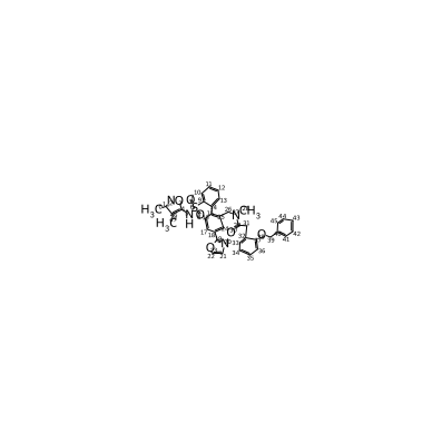 Cc1noc(NS(=O)(=O)c2ccccc2-c2ccc(-c3ncco3)cc2CN(C)C(=O)Cc2ccccc2OCc2ccccc2)c1C